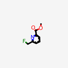 COC(=O)c1cccc(CF)n1